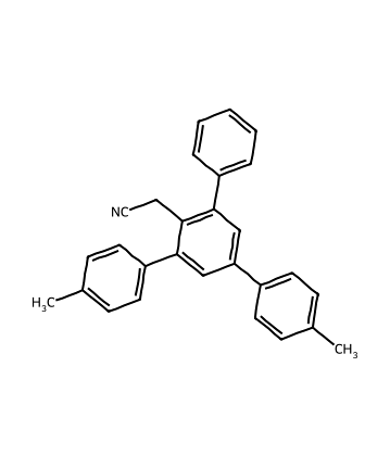 Cc1ccc(-c2cc(-c3ccccc3)c(CC#N)c(-c3ccc(C)cc3)c2)cc1